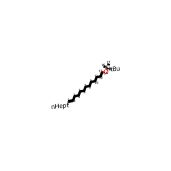 CCCCCCCC=CCCCCCCCCCCCO[Si](C)(C)C(C)(C)C